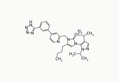 CCCCc1cn(-c2c(C(C)C)cnn2C(C)C)c(=O)n1Cc1cc(-c2cccc(-c3nnn[nH]3)c2)ccn1